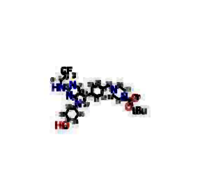 C[C@H](CC(F)(F)F)Nc1ncc2c(-c3ccc(CN4CCN(C(=O)OC(C)(C)C)CC4)cc3)cn([C@H]3CC[C@H](O)CC3)c2n1